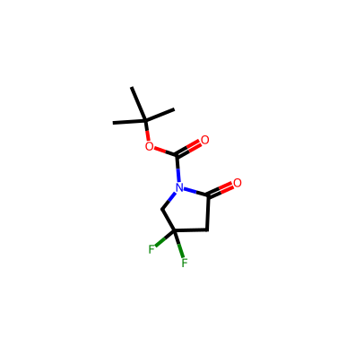 CC(C)(C)OC(=O)N1CC(F)(F)CC1=O